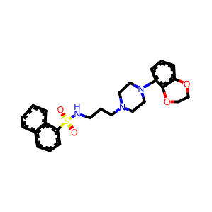 O=S(=O)(NCCCN1CCN(c2cccc3c2OCCO3)CC1)c1cccc2ccccc12